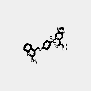 Cc1cc(COc2ccc(S(=O)(=O)N3Cc4ncsc4CC3C(=O)NO)cc2)c2ccccc2n1